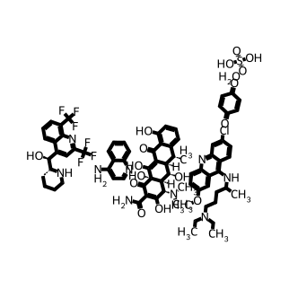 CCN(CC)CCCC(C)Nc1c2ccc(Cl)cc2nc2ccc(OC)cc12.C[C@H]1c2cccc(O)c2C(=O)C2=C(O)[C@]3(O)C(=O)C(C(N)=O)=C(O)[C@@H](N(C)C)[C@@H]3[C@@H](O)[C@@H]21.Nc1ccnc2ccccc12.O.O=C1C=CC(=O)C=C1.O=S(=O)(O)O.O[C@@H](c1cc(C(F)(F)F)nc2c(C(F)(F)F)cccc12)[C@H]1CCCCN1